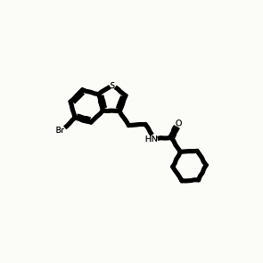 O=C(NCCc1csc2ccc(Br)cc12)C1CCCCC1